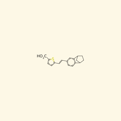 O=C(O)c1ccc(/C=C/c2ccc3c(c2)C2CCC3C2)s1